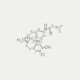 CN1CCc2cc(Cl)c(O)cc2[C@H]2c3ccc(NC(=O)CC4CC4)cc3CC[C@@H]21